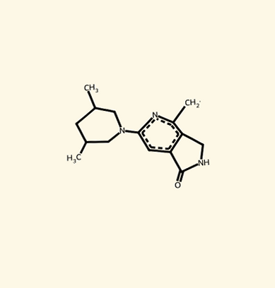 [CH2]c1nc(N2CC(C)CC(C)C2)cc2c1CNC2=O